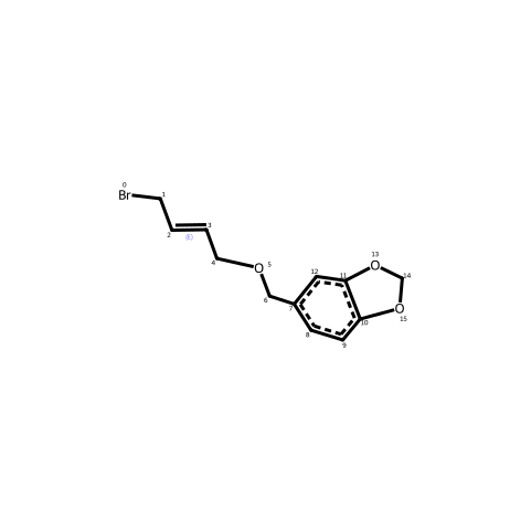 BrC/C=C/COCc1ccc2c(c1)OCO2